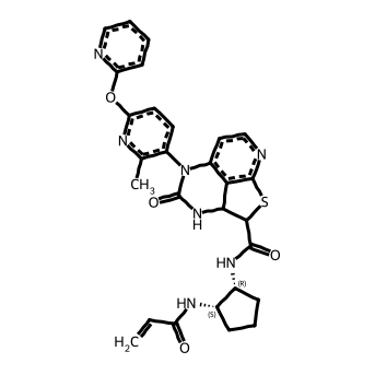 C=CC(=O)N[C@H]1CCC[C@H]1NC(=O)C1Sc2nccc3c2C1NC(=O)N3c1ccc(Oc2ccccn2)nc1C